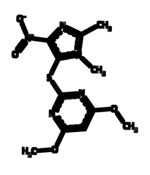 COc1cc(OC)nc(Sc2c([N+](=O)[O-])nc(C)n2C)n1